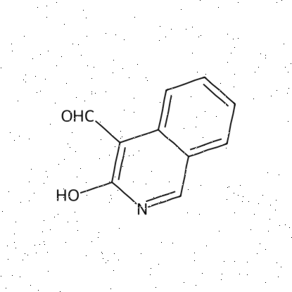 O=Cc1c(O)ncc2ccccc12